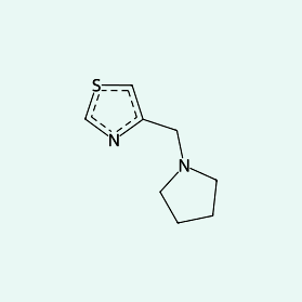 c1nc(CN2CCCC2)cs1